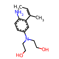 C/C=C(/C)c1cc(N(CCO)CCO)ccc1N